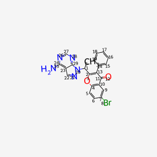 CC(c1oc2ccc(Br)cc2c(=O)c1-c1ccccc1)n1ncc2c(N)ncnc21